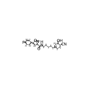 N#C[C@H]1CCN(CCCCCNC(=O)c2cc(-c3ccc(F)cc3)on2)C[C@H]1O